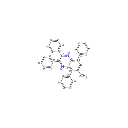 Cc1cc(-c2ccccc2)c2nc(-c3ccccc3)c(-c3ccccc3)nc2c1-c1ccccc1